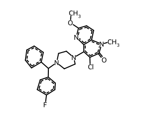 COc1ccc2c(n1)c(N1CCN(C(c3ccccc3)c3ccc(F)cc3)CC1)c(Cl)c(=O)n2C